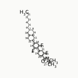 CCCCCCCC1CCC2CC(c3cc(F)c(-c4ccc(C5=NC(C)(C)CO5)c(F)c4)c(F)c3)CCC2C1